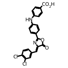 O=C1OC(c2ccc(Nc3ccc(C(=O)O)cc3)cc2)=NC1=Cc1ccc(Cl)c(Cl)c1